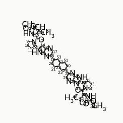 COC(=O)N[C@H](C(=O)N1CCC[C@H]1c1cc2ncc(-c3ccc4cc(-c5cnc6nc([C@@H]7CCCN7C(=O)[C@@H](NC(=O)OC)C(C)C)[nH]c6n5)ccc4c3)nc2[nH]1)C(C)C